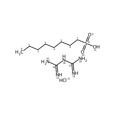 CCCCCCCCS(=O)(=O)O.Cl.N=C(N)NC(=N)N